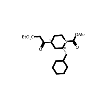 CCOC(=O)CC(=O)[C@H]1CCN(C(=O)OC)[C@H](CC2CCCCC2)C1